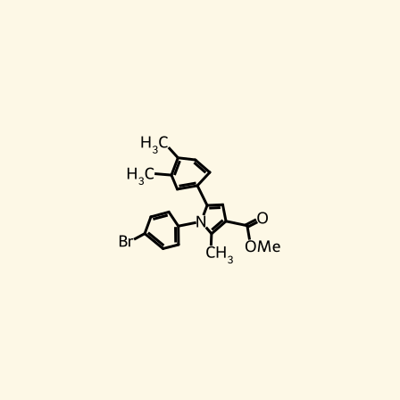 COC(=O)c1cc(-c2ccc(C)c(C)c2)n(-c2ccc(Br)cc2)c1C